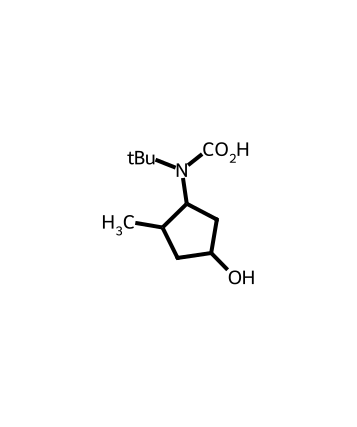 CC1CC(O)CC1N(C(=O)O)C(C)(C)C